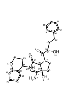 C[C@]1(C(N)=O)SCN(C(=O)[C@@H](O)[CH]Cc2ccccc2)C1C(=O)NC1CCOc2ccccc21